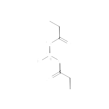 CCC(=O)O[SH](O)OC(=O)CC